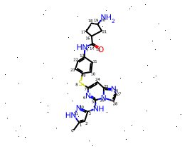 Cc1cc(Nc2nc(Sc3ccc(NC(=O)C4CCC(N)C4)cc3)cc3nccn23)n[nH]1